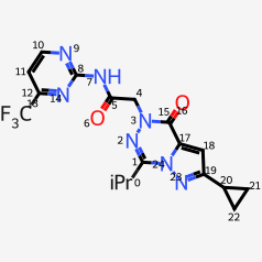 CC(C)c1nn(CC(=O)Nc2nccc(C(F)(F)F)n2)c(=O)c2cc(C3CC3)nn12